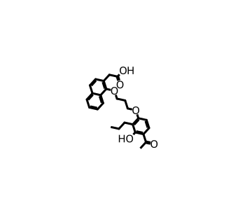 CCCc1c(OCCCOc2c(CC(=O)O)ccc3ccccc23)ccc(C(C)=O)c1O